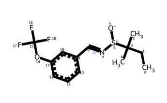 CCC(C)(C)[S+]([O-])/N=C/c1cccc(OC(F)(F)F)c1